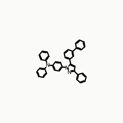 c1ccc(-c2cccc(-c3cc(-c4ccccc4)nn3-c3ccc(N(c4ccccc4)c4ccccc4)cc3)c2)cc1